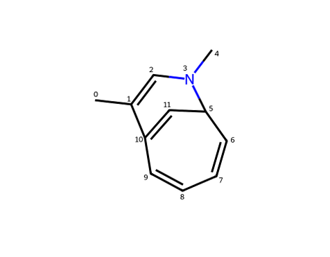 CC1=CN(C)C2C=CC=CC1=C2